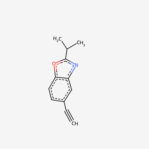 C#Cc1ccc2oc(C(C)C)nc2c1